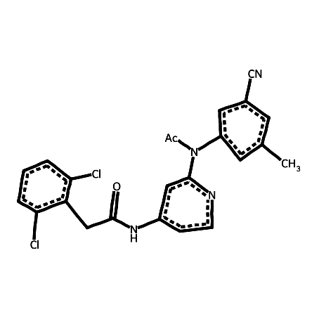 CC(=O)N(c1cc(C)cc(C#N)c1)c1cc(NC(=O)Cc2c(Cl)cccc2Cl)ccn1